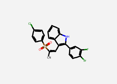 N#C/C(=C/c1c(-c2ccc(Br)c(F)c2)[nH]c2ccccc12)S(=O)(=O)c1ccc(Cl)cc1